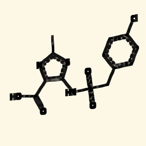 Cc1nc(C(=O)O)c(NS(=O)(=O)Cc2ccc(Cl)cc2)s1